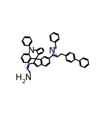 NC/C=C\C1=Cc2ccc(C(=C/Cc3ccc(-c4ccccc4)cc3)/N=C/c3ccccc3)cc2C12c1ccccc1N(c1ccccc1)c1ccccc12